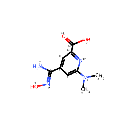 CN(C)c1cc(/C(N)=N/O)cc(C(=O)O)n1